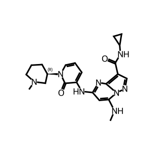 CNc1cc(Nc2cccn([C@@H]3CCCN(C)C3)c2=O)nc2c(C(=O)NC3CC3)cnn12